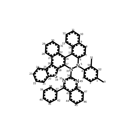 Cc1ccc(N2c3ccc4ccccc4c3-c3c(c4sc5ccccc5c4c4ccccc34)N2c2nc(-c3ccccc3)c3ccccc3n2)c(C)c1